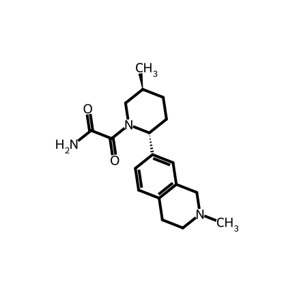 C[C@H]1CC[C@H](c2ccc3c(c2)CN(C)CC3)N(C(=O)C(N)=O)C1